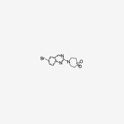 O=S1(=O)CCN(c2ncc3cc(Br)ccc3n2)CC1